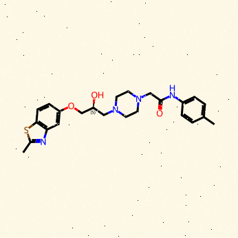 Cc1ccc(NC(=O)CN2CCN(C[C@H](O)COc3ccc4sc(C)nc4c3)CC2)cc1